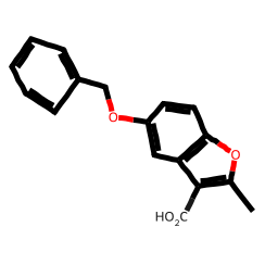 Cc1oc2ccc(OCc3ccccc3)cc2c1C(=O)O